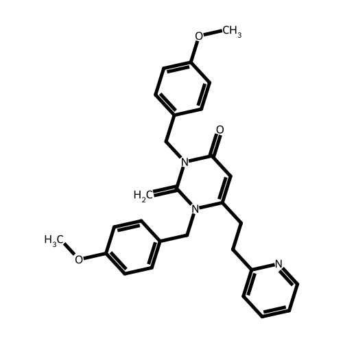 C=C1N(Cc2ccc(OC)cc2)C(=O)C=C(CCc2ccccn2)N1Cc1ccc(OC)cc1